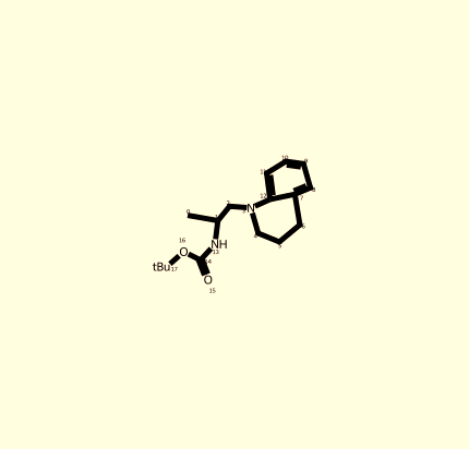 CC(CN1CCCc2ccccc21)NC(=O)OC(C)(C)C